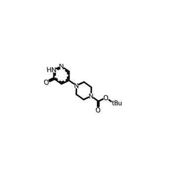 CC(C)(C)OC(=O)N1CCN(c2cn[nH]c(=O)c2)CC1